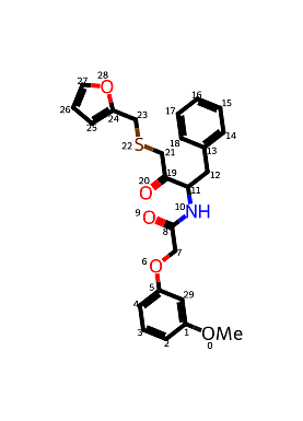 COc1cccc(OCC(=O)NC(Cc2ccccc2)C(=O)CSCc2ccco2)c1